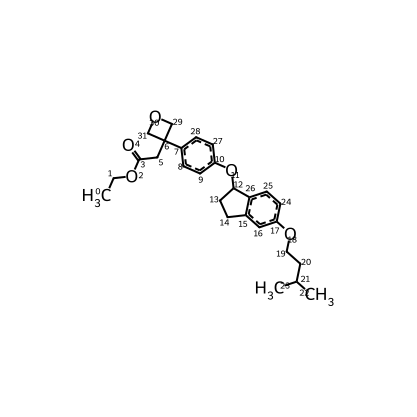 CCOC(=O)CC1(c2ccc(OC3CCc4cc(OCCC(C)C)ccc43)cc2)COC1